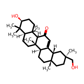 CC1(C)[C@@H](O)CC[C@]2(C)[C@H]3C(=O)C=C4[C@@H](CC[C@@]5(C)CC[C@](C)(CO)C[C@@H]45)[C@]3(C)CC[C@@H]12